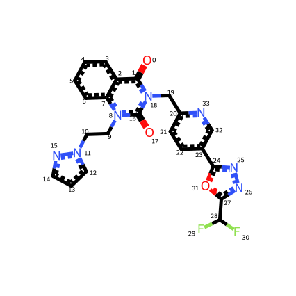 O=c1c2ccccc2n(CCn2cccn2)c(=O)n1Cc1ccc(-c2nnc(C(F)F)o2)cn1